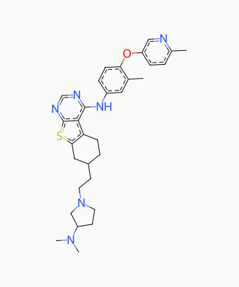 Cc1ccc(Oc2ccc(Nc3ncnc4sc5c(c34)CCC(CCN3CCC(N(C)C)C3)C5)cc2C)cn1